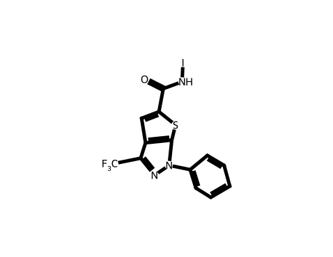 O=C(NI)c1cc2c(C(F)(F)F)nn(-c3ccccc3)c2s1